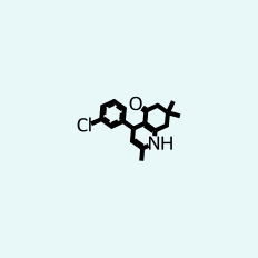 CC1=CC(c2cccc(Cl)c2)C2=C(CC(C)(C)CC2=O)N1